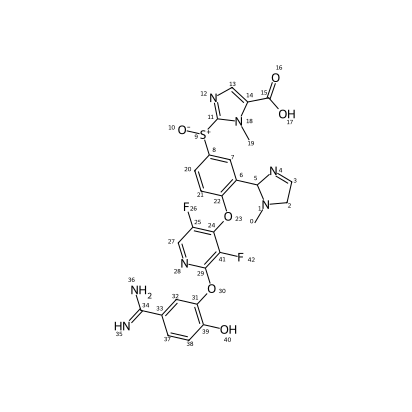 CN1CC=NC1c1cc([S+]([O-])c2ncc(C(=O)O)n2C)ccc1Oc1c(F)cnc(Oc2cc(C(=N)N)ccc2O)c1F